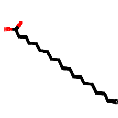 C=CC=CCCC=CC=CCCCCCCC=CC(=O)O